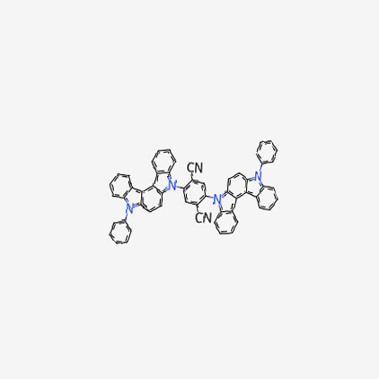 N#Cc1cc(-n2c3ccccc3c3c4c5ccccc5n(-c5ccccc5)c4ccc32)c(C#N)cc1-n1c2ccccc2c2c3c4ccccc4n(-c4ccccc4)c3ccc21